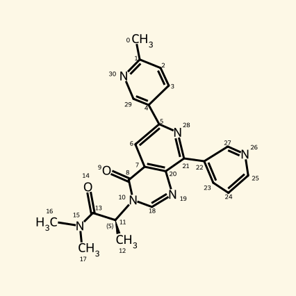 Cc1ccc(-c2cc3c(=O)n([C@@H](C)C(=O)N(C)C)cnc3c(-c3cccnc3)n2)cn1